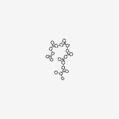 c1ccc(-c2cc(-c3ccccc3)cc(-n3c4ccccc4c4cc(-c5ccc6c(c5)c5ccccc5n6-c5ccc(-n6c7ccccc7c7cc(-c8cccc(-n9c%10ccccc%10c%10cc(-c%11ccc%12c(c%11)c%11ccccc%11n%12-c%11cccc(-c%12cccc(-n%13c%14ccccc%14c%14ccccc%14%13)c%12)c%11)ccc%109)c8)ccc76)cc5)ccc43)c2)cc1